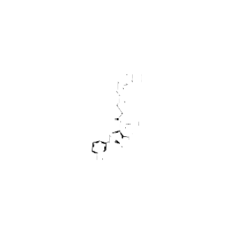 CCN(C(=O)CCN/C=N\C=N)c1cn(-c2cccnc2)nc1Cl